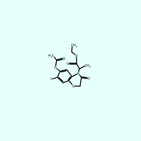 CCOC(=O)C(C)N1C(=O)COc2cc(F)c(OC(C)=O)cc21